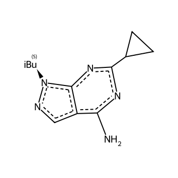 CC[C@H](C)n1ncc2c(N)nc(C3CC3)nc21